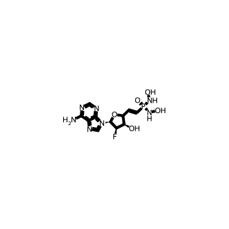 Nc1ncnc2c1ncn2[C@@H]1OC(/C=C/P(=O)(NO)NO)[C@@H](O)[C@H]1F